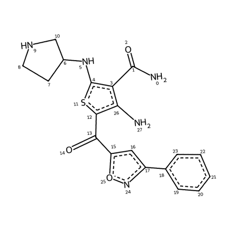 NC(=O)c1c(NC2CCNC2)sc(C(=O)c2cc(-c3ccccc3)no2)c1N